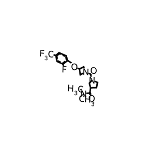 CN(C)C(=O)C1CCN(C(=O)N2CC(OCc3ccc(C(F)(F)F)cc3F)C2)C1